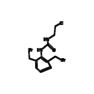 CC(C)Cc1cccc(CC(C)C)c1NC(=O)NCCCl